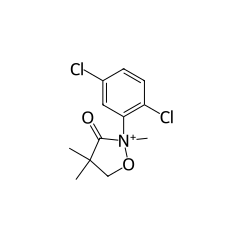 CC1(C)CO[N+](C)(c2cc(Cl)ccc2Cl)C1=O